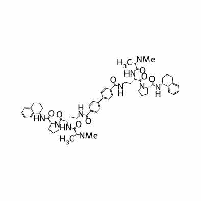 CN[C@@H](C)C(=O)N[C@@H](CCNC(=O)c1ccc(-c2ccc(C(=O)NCC[C@H](NC(=O)[C@H](C)NC)C(=O)N3CCC[C@H]3C(=O)N[C@@H]3CCCc4ccccc43)cc2)cc1)C(=O)N1CCC[C@H]1C(=O)N[C@@H]1CCCc2ccccc21